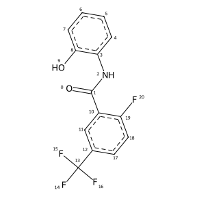 O=C(Nc1ccccc1O)c1cc(C(F)(F)F)ccc1F